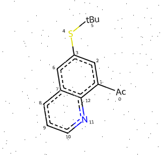 CC(=O)c1cc(SC(C)(C)C)cc2cccnc12